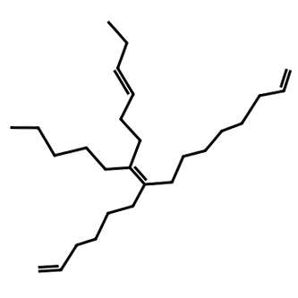 C=CCCCCCCC(CCCCC=C)=C(CCC=CCC)CCCCC